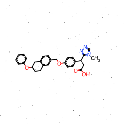 Cn1cnnc1[C@@H](CC(=O)O)c1ccc(OCc2ccc3c(c2)CCC(Oc2ccccc2)C3)cc1